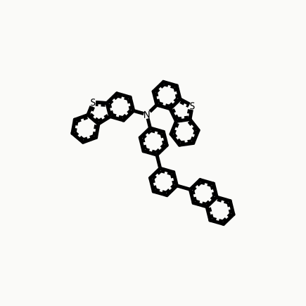 c1cc(-c2ccc(N(c3ccc4sc5ccccc5c4c3)c3cccc4sc5ccccc5c34)cc2)cc(-c2ccc3ccccc3c2)c1